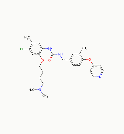 Cc1cc(NC(=O)NCc2ccc(Oc3ccncc3)c(C)c2)c(OCCCCN(C)C)cc1Cl